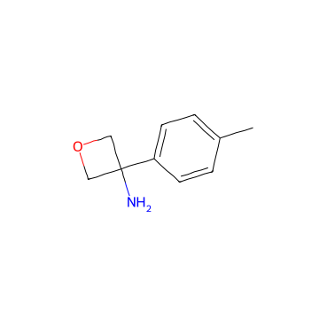 Cc1ccc(C2(N)COC2)cc1